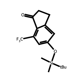 CC(C)(C)[Si](C)(C)Oc1cc2c(c(C(F)(F)F)c1)C(=O)CC2